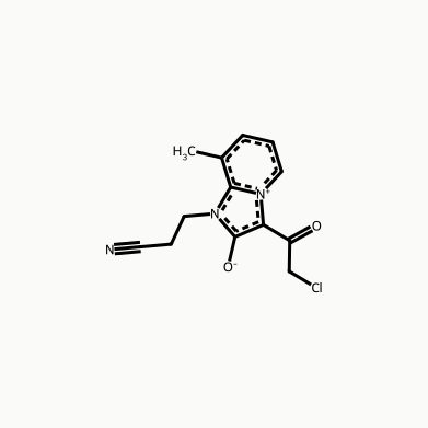 Cc1ccc[n+]2c(C(=O)CCl)c([O-])n(CCC#N)c12